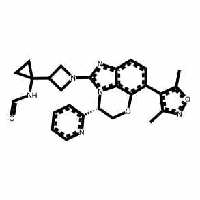 Cc1noc(C)c1-c1ccc2nc(N3CC(C4(NC=O)CC4)C3)n3c2c1OC[C@@H]3c1ccccn1